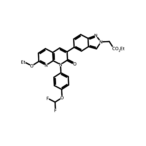 CCOC(=O)Cn1cc2cc(-c3cc4ccc(OCC)nc4n(-c4ccc(OC(F)F)cc4)c3=O)ccc2n1